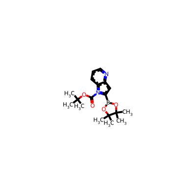 CC(C)(C)OC(=O)n1c(B2OC(C)(C)C(C)(C)O2)cc2ncccc21